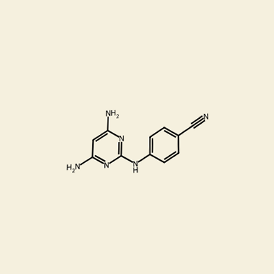 N#Cc1ccc(Nc2nc(N)cc(N)n2)cc1